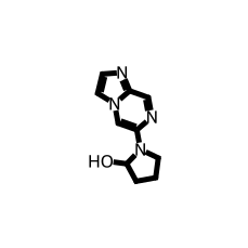 OC1CCCN1c1cn2ccnc2cn1